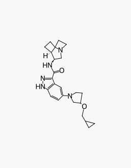 O=C(N[C@@H]1CN2CCC23CC[C@H]13)c1n[nH]c2ccc(N3CC[C@H](OCC4CC4)C3)cc12